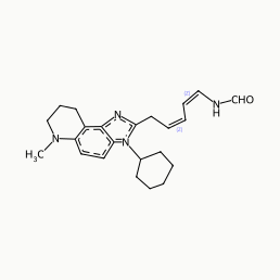 CN1CCCc2c1ccc1c2nc(C/C=C\C=C/NC=O)n1C1CCCCC1